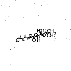 CC(C)(C)OC(=O)NOC(=O)OCCCC[O]